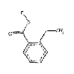 CCc1ccccc1C(=O)OF